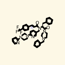 O=C([C@H](Cc1ccccc1)N(Cc1ccc(N2CCN(c3ccccn3)CC2)nc1)C(=O)/C=C/c1ccc(C(F)(F)F)cc1)N1CCN(Cc2ccccc2)CC1